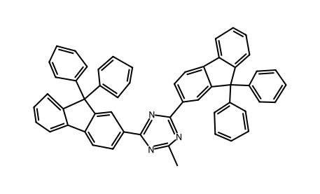 Cc1nc(-c2ccc3c(c2)C(c2ccccc2)(c2ccccc2)c2ccccc2-3)nc(-c2ccc3c(c2)C(c2ccccc2)(c2ccccc2)c2ccccc2-3)n1